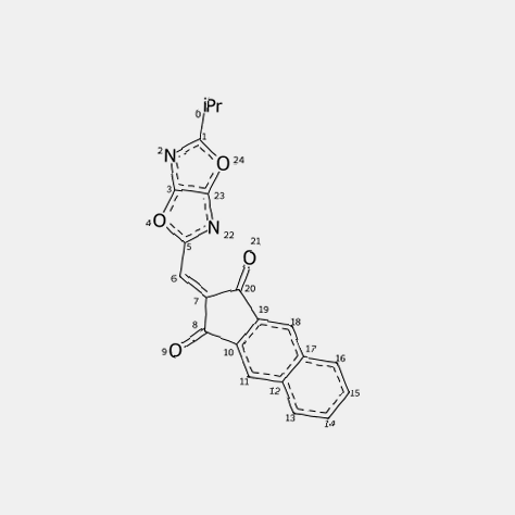 CC(C)c1nc2oc(C=C3C(=O)c4cc5ccccc5cc4C3=O)nc2o1